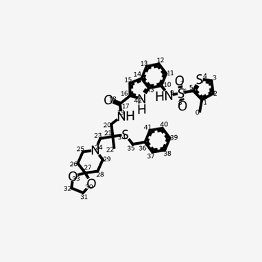 Cc1ccsc1S(=O)(=O)Nc1cccc2cc(C(=O)NCC(C)(CN3CCC4(CC3)OCCO4)SCc3ccccc3)[nH]c12